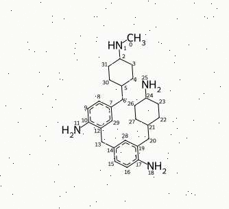 CNC1CCC(Cc2ccc(N)c(Cc3ccc(N)c(CC4CCC(N)CC4)c3)c2)CC1